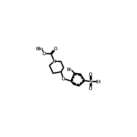 CCS(=O)(=O)c1ccc(OC2CCN(C(=O)OC(C)(C)C)CC2)c(Br)c1